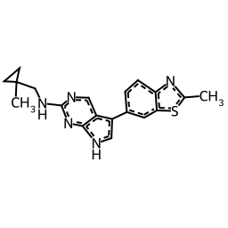 Cc1nc2ccc(-c3c[nH]c4nc(NCC5(C)CC5)ncc34)cc2s1